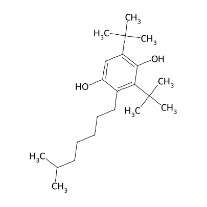 CC(C)CCCCCc1c(O)cc(C(C)(C)C)c(O)c1C(C)(C)C